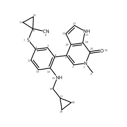 Cn1cc(-c2cc(SC3(C#N)CC3)ccc2NCC2CC2)c2cc[nH]c2c1=O